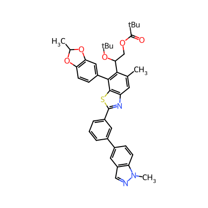 Cc1cc2nc(-c3cccc(-c4ccc5c(cnn5C)c4)c3)sc2c(-c2ccc3c(c2)OC(C)O3)c1C(COC(=O)C(C)(C)C)OC(C)(C)C